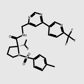 Cc1ccc(S(=O)(=O)N2CCC[C@]2(C(=O)NCc2cc(-c3ccc(C(F)(F)F)nc3)ncn2)C(C)F)cc1